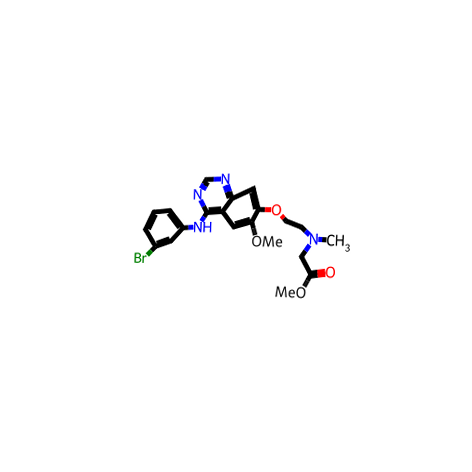 COC(=O)CN(C)CCOc1cc2ncnc(Nc3cccc(Br)c3)c2cc1OC